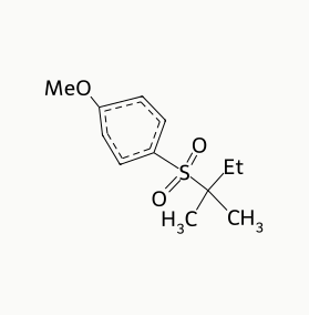 CCC(C)(C)S(=O)(=O)c1ccc(OC)cc1